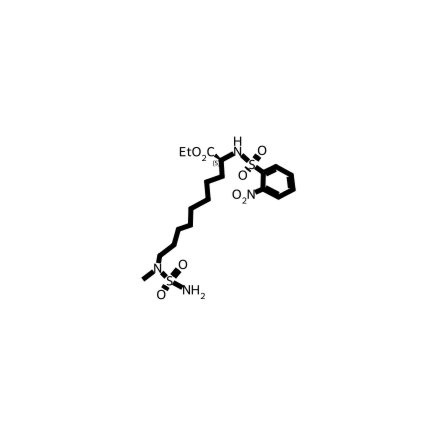 CCOC(=O)[C@H](CCCCCCCCN(C)S(N)(=O)=O)NS(=O)(=O)c1ccccc1[N+](=O)[O-]